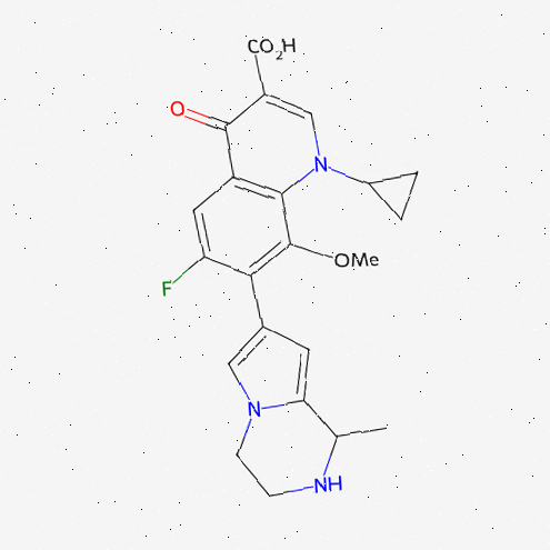 COc1c(-c2cc3n(c2)CCNC3C)c(F)cc2c(=O)c(C(=O)O)cn(C3CC3)c12